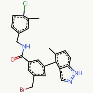 Cc1cc(CNC(=O)c2cc(CBr)cc(-c3c(C)ccc4[nH]ncc34)c2)ccc1Cl